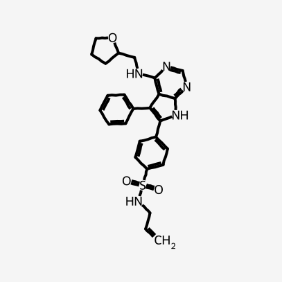 C=CCNS(=O)(=O)c1ccc(-c2[nH]c3ncnc(NCC4CCCO4)c3c2-c2ccccc2)cc1